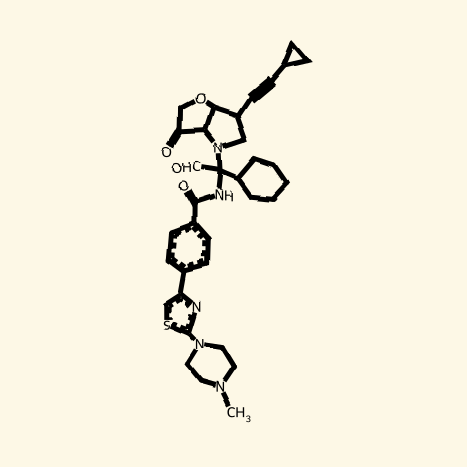 CN1CCN(c2nc(-c3ccc(C(=O)NC(C=O)(C4CCCCC4)N4CC(C#CC5CC5)C5OCC(=O)C54)cc3)cs2)CC1